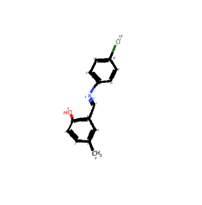 Cc1ccc(O)c(/C=N/c2ccc(Cl)cc2)c1